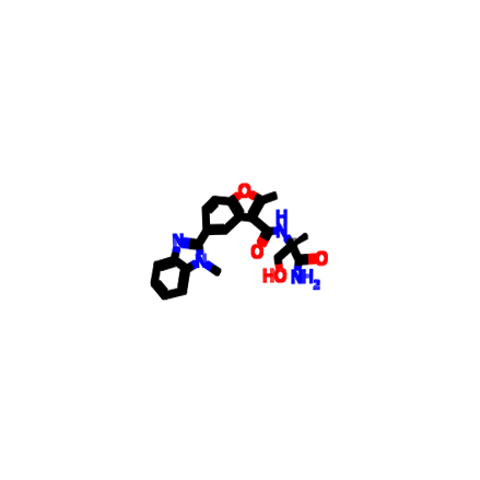 Cc1oc2ccc(-c3nc4ccccc4n3C)cc2c1C(=O)N[C@@](C)(CO)C(N)=O